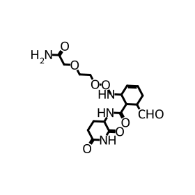 NC(=O)COCCOONC1C=CCC(C=O)C1C(=O)NC1CCC(=O)NC1=O